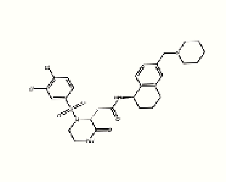 O=C(C[C@@H]1C(=O)NCCN1S(=O)(=O)c1ccc(Cl)c(Cl)c1)N[C@@H]1CCCc2cc(CN3CCCCC3)ccc21